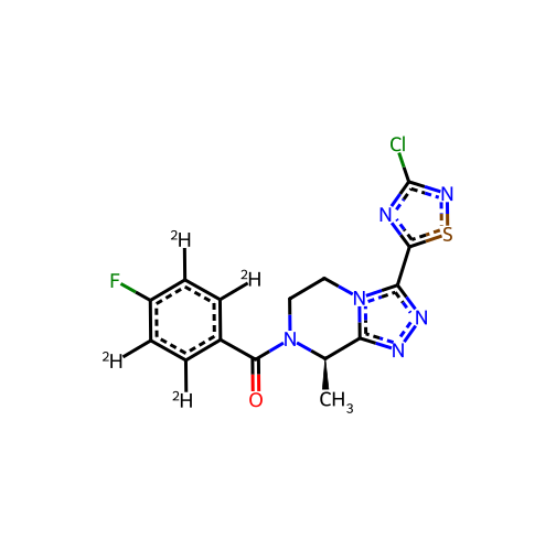 [2H]c1c([2H])c(C(=O)N2CCn3c(-c4nc(Cl)ns4)nnc3[C@H]2C)c([2H])c([2H])c1F